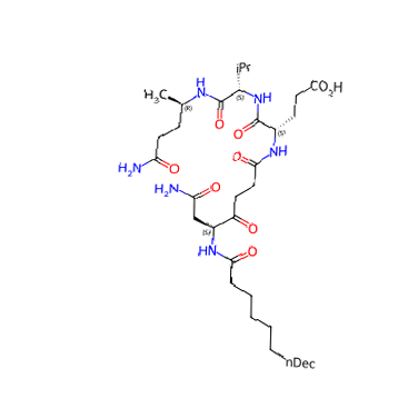 CCCCCCCCCCCCCCCC(=O)N[C@@H](CC(N)=O)C(=O)CCC(=O)N[C@@H](CCC(=O)O)C(=O)N[C@H](C(=O)N[C@H](C)CCC(N)=O)C(C)C